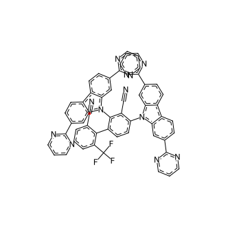 N#Cc1cccc(C(F)(F)F)c1-c1ccc(-n2c3cc(-c4ncccn4)ccc3c3ccc(-c4ncccn4)cc32)c(C#N)c1-n1c2cc(-c3ncccn3)ccc2c2ccc(-c3ncccn3)cc21